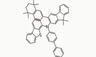 CC1(C)CCC(C)(C)c2cc(-c3cc4c(cc3N(c3ccc(-c5ccccc5)cc3)c3cccc5c3sc3ccccc35)C(C)(C)c3ccccc3-4)ccc21